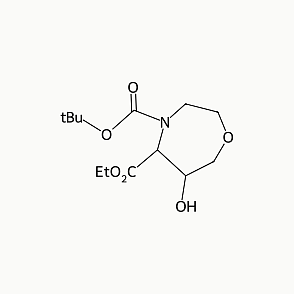 CCOC(=O)C1C(O)COCCN1C(=O)OC(C)(C)C